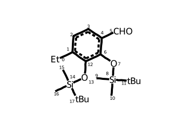 CCc1ccc(C=O)c(O[Si](C)(C)C(C)(C)C)c1O[Si](C)(C)C(C)(C)C